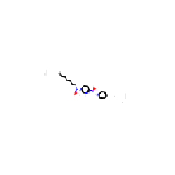 CCCCCCCCCCCCCCCCN(C(=O)C(F)(F)F)c1ccc(C(=O)Nc2ccc(C(=O)OCC)cc2)cc1